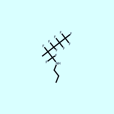 CCCNC(F)(F)C(C)(F)C(F)(F)C(F)(F)C(F)(F)F